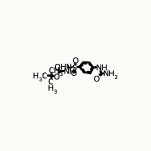 CC(C)(C)OC(=O)NNS(=O)(=O)c1ccc(NC(N)=O)cc1